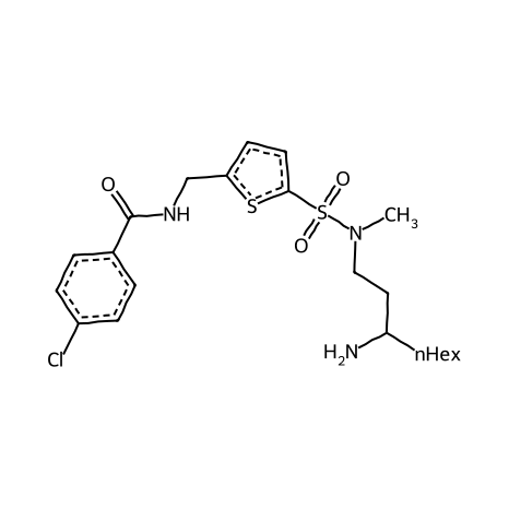 CCCCCCC(N)CCN(C)S(=O)(=O)c1ccc(CNC(=O)c2ccc(Cl)cc2)s1